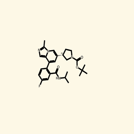 Cc1ncc2c(-c3ccc(F)cc3C(=O)NC(C)C)cc([C@@H]3CCN(C(=O)OC(C)(C)C)C3)cn12